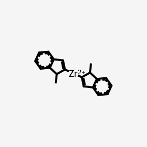 CC1[C]([Zr+2][C]2=Cc3ccccc3C2C)=Cc2ccccc21